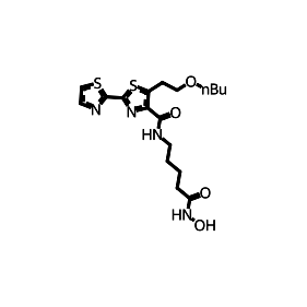 CCCCOCCc1sc(-c2nccs2)nc1C(=O)NCCCCC(=O)NO